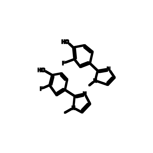 Cn1ccnc1-c1ccc(O)c(F)c1.Cn1ccnc1-c1ccc(O)c(F)c1